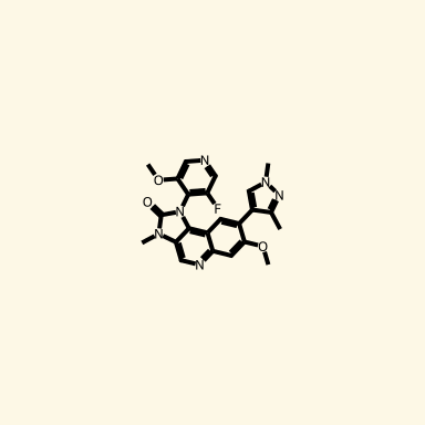 COc1cc2ncc3c(c2cc1-c1cn(C)nc1C)n(-c1c(F)cncc1OC)c(=O)n3C